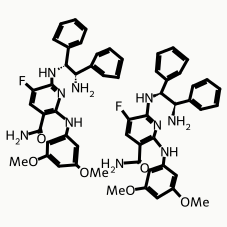 COc1cc(Nc2nc(N[C@@H](c3ccccc3)[C@H](N)c3ccccc3)c(F)cc2C(N)=O)cc(OC)c1.COc1cc(Nc2nc(N[C@H](c3ccccc3)[C@@H](N)c3ccccc3)c(F)cc2C(N)=O)cc(OC)c1